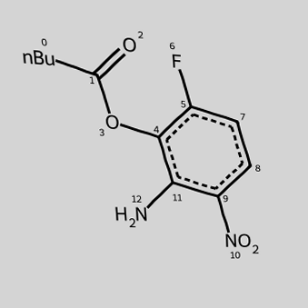 CCCCC(=O)Oc1c(F)ccc([N+](=O)[O-])c1N